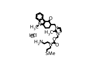 CSCCN(CCN)C(=O)OC[n+]1ccn(CC2CCc3c(c4ccccc4n3C)C2=O)c1C.Cl.[Cl-]